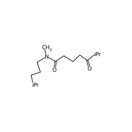 CC(C)CCCN(C)C(=O)CCCC(=O)C(C)C